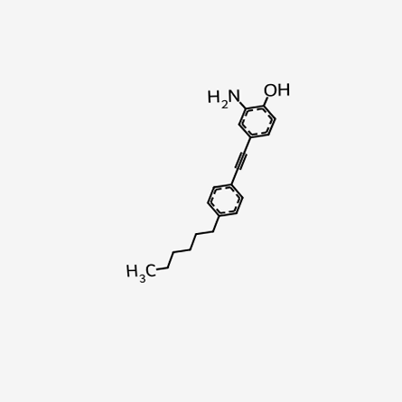 CCCCCCc1ccc(C#Cc2ccc(O)c(N)c2)cc1